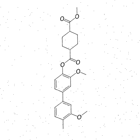 COC(=O)C1CCC(C(=O)Oc2ccc(-c3ccc(C)c(OC)c3)cc2OC)CC1